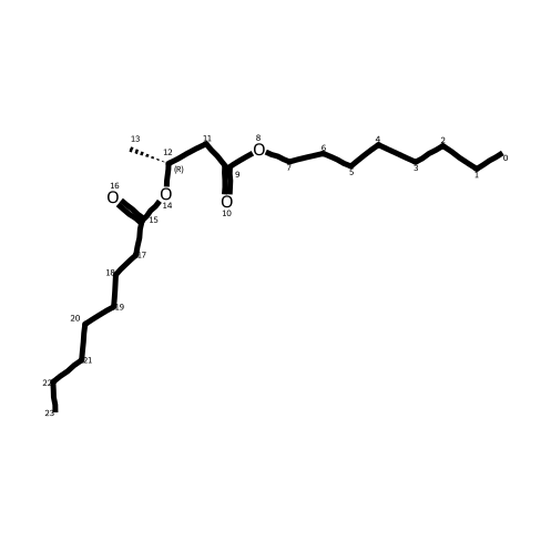 CCCCCCCCOC(=O)C[C@@H](C)OC(=O)CCCCCCC